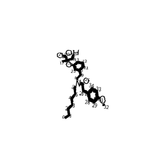 CCCCCCCN(CCc1cccc(OC(C)(CC)C(=O)O)c1)C(=O)Cc1ccc(OC)cc1